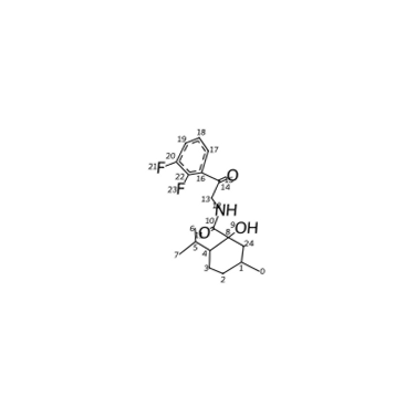 CC1CCC(C(C)C)C(O)(C(=O)NCC(=O)c2cccc(F)c2F)C1